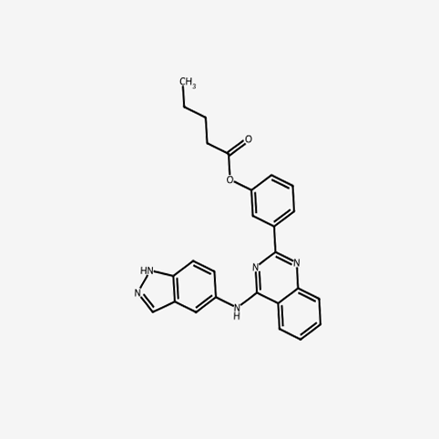 CCCCC(=O)Oc1cccc(-c2nc(Nc3ccc4[nH]ncc4c3)c3ccccc3n2)c1